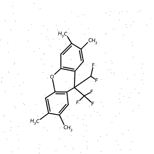 Cc1cc2c(cc1C)C(C(F)F)(C(F)(F)F)c1cc(C)c(C)cc1O2